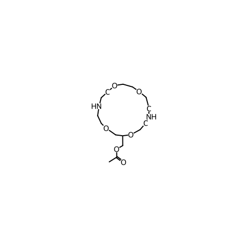 CC(=O)OCC1COCCNCCOCCOCCNCCO1